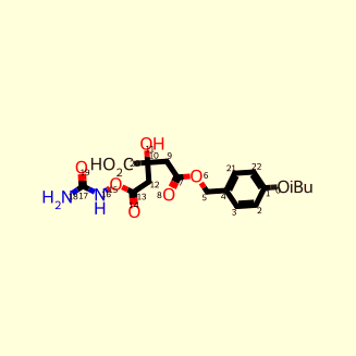 CC(C)COc1ccc(COC(=O)CC(O)(CC(=O)ONC(N)=O)C(=O)O)cc1